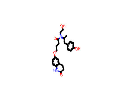 CC(Cc1ccc(O)cc1)N(CCO)C(=O)CCCOc1ccc2c(c1)CCC(=O)N2